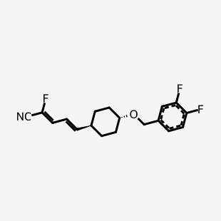 N#C/C(F)=C/C=C/[C@H]1CC[C@H](OCc2ccc(F)c(F)c2)CC1